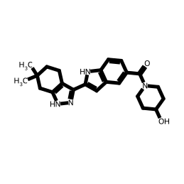 CC1(C)CCc2c(-c3cc4cc(C(=O)N5CCC(O)CC5)ccc4[nH]3)n[nH]c2C1